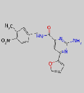 Cc1cc(CNC(=O)c2cc(-c3ccco3)nc(N)n2)ccc1[N+](=O)[O-]